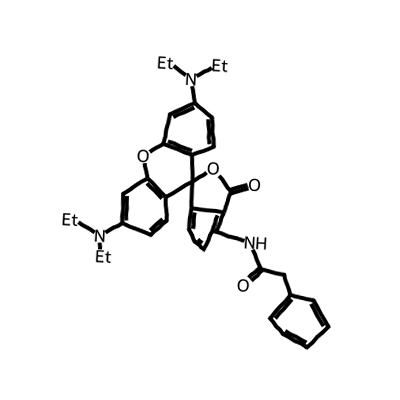 CCN(CC)c1ccc2c(c1)Oc1cc(N(CC)CC)ccc1C21OC(=O)c2c(NC(=O)Cc3ccccc3)cccc21